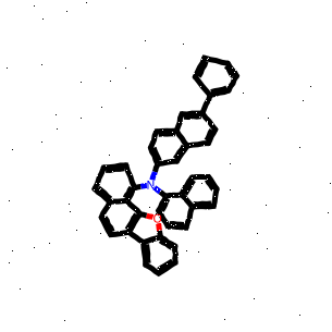 c1ccc(-c2ccc3cc(N(c4cccc5ccccc45)c4cccc5ccc6c7ccccc7oc6c45)ccc3c2)cc1